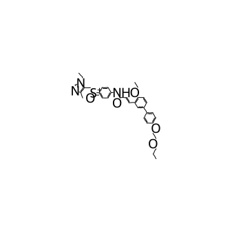 CCCOCCOc1ccc(-c2ccc(OCC)c(/C=C/C(=O)Nc3ccc([S@@+]([O-])Cc4c(C)ncn4CC)cc3)c2)cc1